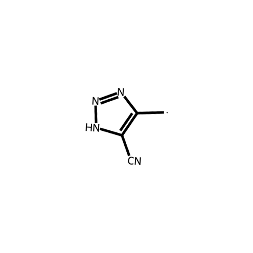 [CH2]c1nn[nH]c1C#N